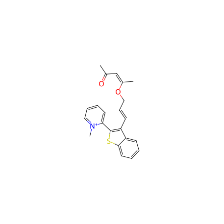 CC(=O)/C=C(/C)OC/C=C/c1c(-c2cccc[n+]2C)sc2ccccc12